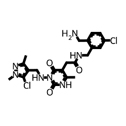 Cc1nn(C)c(Cl)c1CNn1c(=O)[nH]c(C)c(CC(=O)NCc2cc(Cl)ccc2CN)c1=O